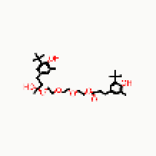 Cc1cc(CCC(=O)OCCOCCOCCOC(C)(O)CCc2cc(C)c(O)c(C(C)(C)C)c2)cc(C(C)(C)C)c1O